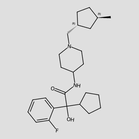 C[C@@H]1CC[C@@H](CN2CCC(NC(=O)C(O)(c3ccccc3F)C3CCCC3)CC2)C1